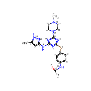 CCCc1cc(Nc2nc(Sc3ccc(NC(=O)CC)cc3)nc(N3CCN(C)CC3)n2)n[nH]1